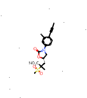 CC#Cc1ccc(N2C[C@H](CC(C)(C(=O)O)S(C)(=O)=O)OC2=O)cc1C